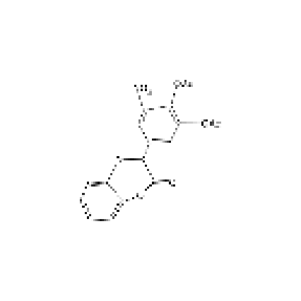 CC(=O)Oc1cc(-c2nc3ccccc3oc2=O)cc([N+](=O)[O-])c1OC(C)=O